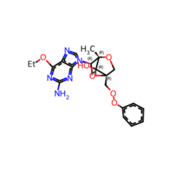 CCOc1nc(N)nc2c1ncn2[C@@H]1O[C@@]2(COOc3ccccc3)CO[C@]1(C)[C@@H]2O